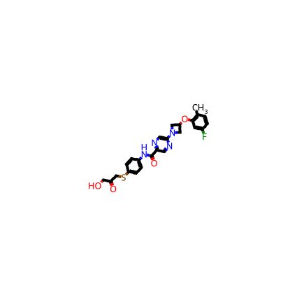 Cc1ccc(F)cc1OC1CN(c2cnc(C(=O)Nc3ccc(SCC(=O)CO)cc3)cn2)C1